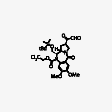 COc1cc2c(cc1OC)N(C(=O)OCC(Cl)(Cl)Cl)[C@H](CO[Si](C)(C)C(C)(C)C)[C@@H]1C[C@@H](C(=O)C=O)CN1C2=O